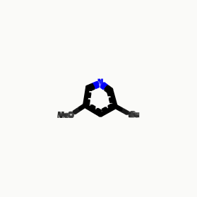 COc1cncc(C(C)(C)C)c1